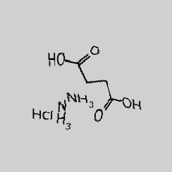 Cl.N.N.O=C(O)CCC(=O)O